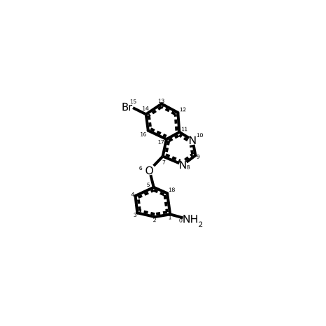 Nc1cccc(Oc2ncnc3ccc(Br)cc23)c1